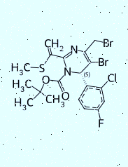 C=C(SC)C1=NC(CBr)=C(Br)[C@H](c2ccc(F)cc2Cl)N1C(=O)OC(C)(C)C